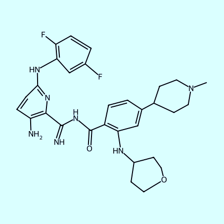 CN1CCC(c2ccc(C(=O)NC(=N)c3nc(Nc4cc(F)ccc4F)ccc3N)c(NC3CCOCC3)c2)CC1